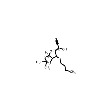 CCCCOC1C2OC(C)(C)O[C@H]2O[C@@H]1[C@H](O)C#N